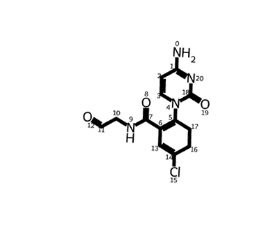 Nc1ccn(C2=C(C(=O)NCC=O)C=C(Cl)CC2)c(=O)n1